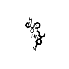 CCc1c(CC[C@@H]2CCCCN2C(=O)[C@H]2CCCN2)[nH]c2cc(C#N)ccc12